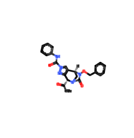 COC(=O)[C@@H]1c2nn(C(=O)Nc3ccccc3)cc2[C@@H]2CN1C(=O)N2OCc1ccccc1